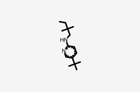 CCC(C)(C)CNc1ccc(C(C)(C)C)cn1